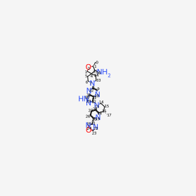 C[C@@H]1OCC2(CCN(c3cnc4c(N5CC[C@H](C)c6nc(-c7ncon7)ccc65)n[nH]c4n3)CC2)[C@@H]1N